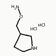 Cl.Cl.NOCC1CCNC1